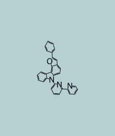 c1ccc(-c2cc3ccc4c(c5ccccc5n4-c4cccc(-c5ccccn5)n4)c3o2)cc1